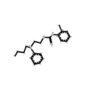 CCCCN(CCOC(=O)Oc1ccccc1C)c1ccccc1